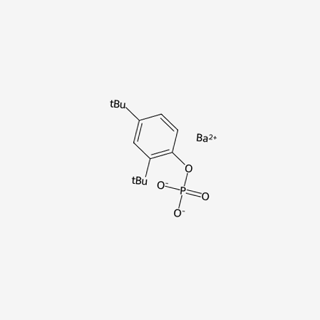 CC(C)(C)c1ccc(OP(=O)([O-])[O-])c(C(C)(C)C)c1.[Ba+2]